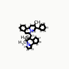 CC1=CC2c3ccccc3C=C(CC3(C)c4ccccc4-c4cccn4C3(C)C)N2C=C1c1ccccc1